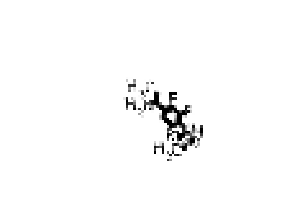 C=CS(=O)(=O)Nc1c(F)cc(C(N)CC)c(F)c1F